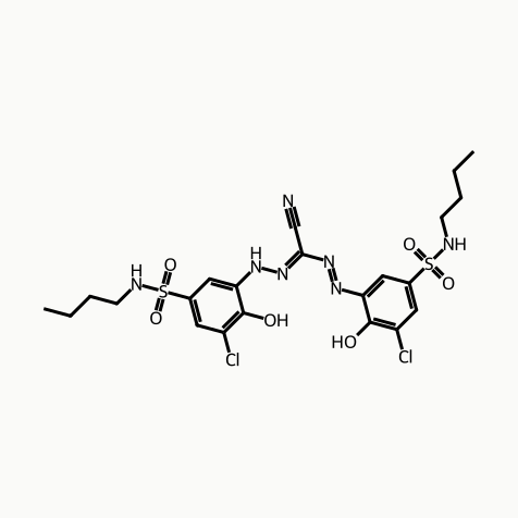 CCCCNS(=O)(=O)c1cc(Cl)c(O)c(N=NC(C#N)=NNc2cc(S(=O)(=O)NCCCC)cc(Cl)c2O)c1